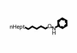 CCCCCCCCCCCCONc1ccccc1